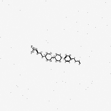 CCCCc1ccc([C@H]2CC[C@H]([C@H]3CC[C@H](CCC=CC(F)F)CC3)CC2)cc1